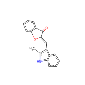 Cc1[nH]c2ccccc2c1/C=C1\Oc2ccccc2C1=O